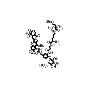 CCCCc1c2c(nc3cc4c(c(NC(=O)OCc5ccc(O[C@@H]6O[C@H](C(=O)O)[C@@H](O)[C@H](O)[C@H]6O)c(NC(=O)CCNC(=O)[C@@H](N)CCCCNC(=O)C(C)(C)CCOC(C)(C)C)c5)c13)OCO4)-c1cc3c(c(=O)n1C2)COC(=O)[C@]3(O)CC